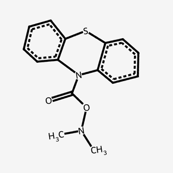 CN(C)OC(=O)N1c2ccccc2Sc2ccccc21